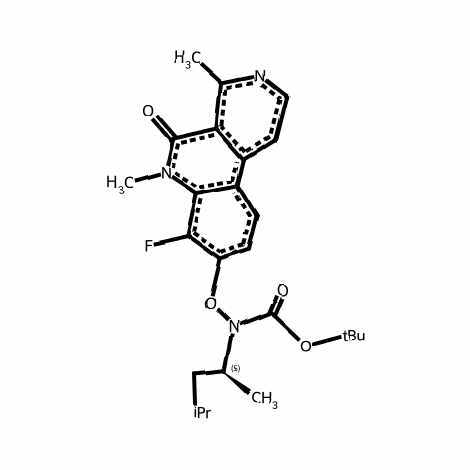 Cc1nccc2c1c(=O)n(C)c1c(F)c(ON(C(=O)OC(C)(C)C)[C@@H](C)CC(C)C)ccc21